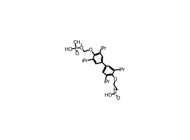 CC(C)c1cc(-c2cc(C(C)C)c(OCOP(C)(=O)O)c(C(C)C)c2)cc(C(C)C)c1OCC[PH](=O)O